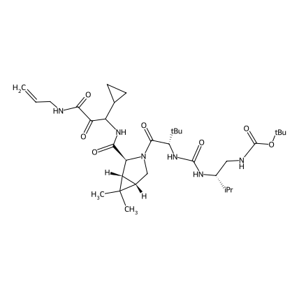 C=CCNC(=O)C(=O)C(NC(=O)[C@@H]1[C@@H]2[C@H](CN1C(=O)[C@@H](NC(=O)N[C@H](CNC(=O)OC(C)(C)C)C(C)C)C(C)(C)C)C2(C)C)C1CC1